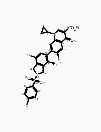 CCOC(=O)c1cn(C2CC2)c2cc(-c3cc(F)c4c(c3F)CN(S(=O)(=O)c3ccc(C)cc3)C4)c(F)cc2c1=O